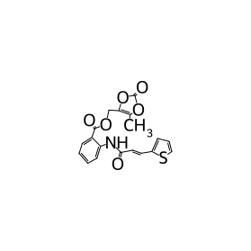 Cc1oc(=O)oc1COC(=O)c1ccccc1NC(=O)C=Cc1cccs1